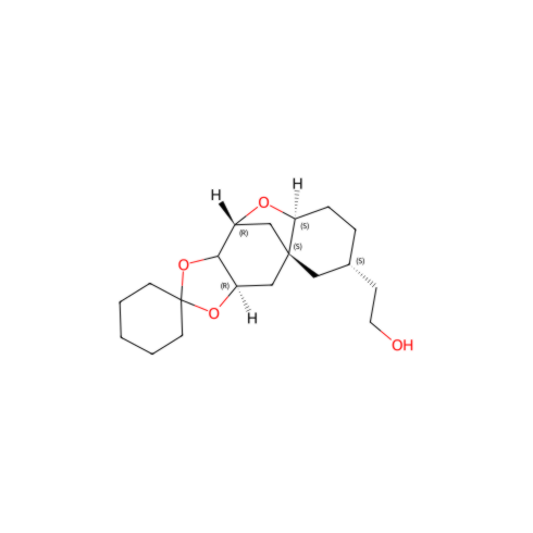 OCC[C@H]1CC[C@@H]2O[C@@H]3C[C@@]2(C1)C[C@H]1OC2(CCCCC2)OC31